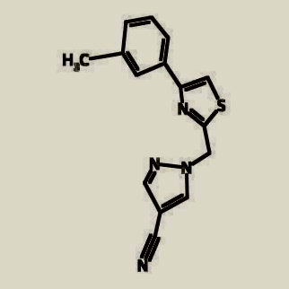 Cc1cccc(-c2csc(Cn3cc(C#N)cn3)n2)c1